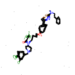 CN(CCc1ccccc1)c1nc(-c2ccc(OCCCCN(C(=O)C(F)(F)F)C3CCN(Cc4ccc(Cl)c(Cl)c4)CC3)cc2)cs1